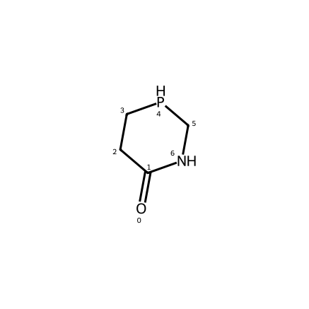 O=C1CCPCN1